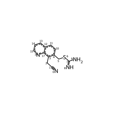 N#CCc1c(CSC(=N)N)ccc2cccnc12